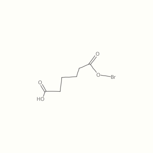 O=C(O)CCCCC(=O)OBr